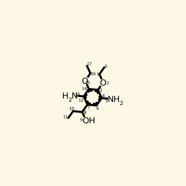 CCOc1c(N)cc(C(O)CC)c(N)c1OCC